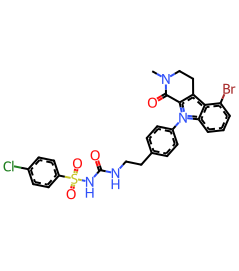 CN1CCc2c(n(-c3ccc(CCNC(=O)NS(=O)(=O)c4ccc(Cl)cc4)cc3)c3cccc(Br)c23)C1=O